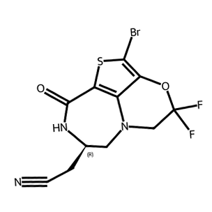 N#CC[C@@H]1CN2CC(F)(F)Oc3c(Br)sc(c32)C(=O)N1